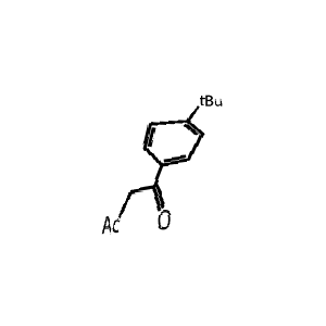 CC(=O)CC(=O)c1ccc(C(C)(C)C)cc1